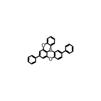 c1ccc(-c2cc3c4c(c2)Oc2ccc(-c5ccccc5)cc2B4c2ccccc2O3)cc1